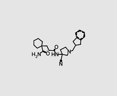 N#CC1(NC(=O)[CH]CC2(C(N)=O)CCCCC2)CCN(CC2Cc3ccccc3C2)C1